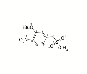 CC(C)COc1cc(CS(C)(=O)=O)ccc1[N+](=O)[O-]